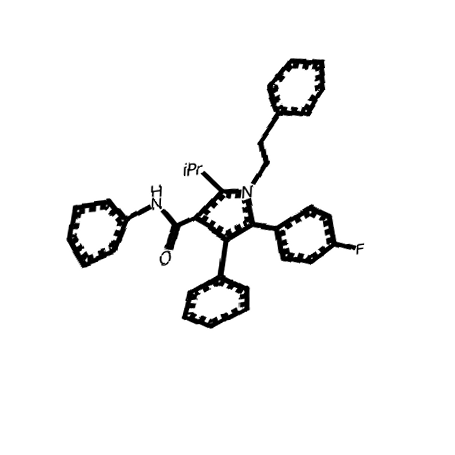 CC(C)c1c(C(=O)Nc2ccccc2)c(-c2ccccc2)c(-c2ccc(F)cc2)n1CCc1ccccc1